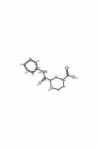 [O]C(=O)N1CCOC(C(=O)Nc2ccccc2)C1